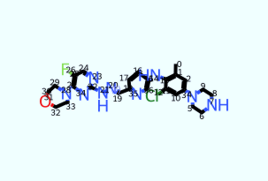 Cc1cc(N2CCNCC2)cc(Cl)c1Nc1ccc(/C=N/Nc2ncc(F)c(N3CCOCC3)n2)nc1